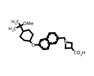 COC(C)(C)C1CCC(Oc2ccc3cc(CN4CC(C(=O)O)C4)ccc3c2)CC1